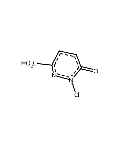 O=C(O)c1ccc(=O)n(Cl)n1